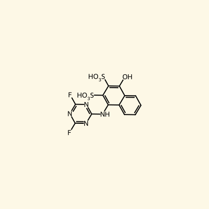 O=S(=O)(O)c1c(S(=O)(=O)O)c(Nc2nc(F)nc(F)n2)c2ccccc2c1O